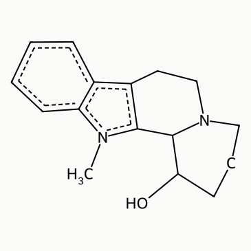 Cn1c2c(c3ccccc31)CCN1CCCC(O)C21